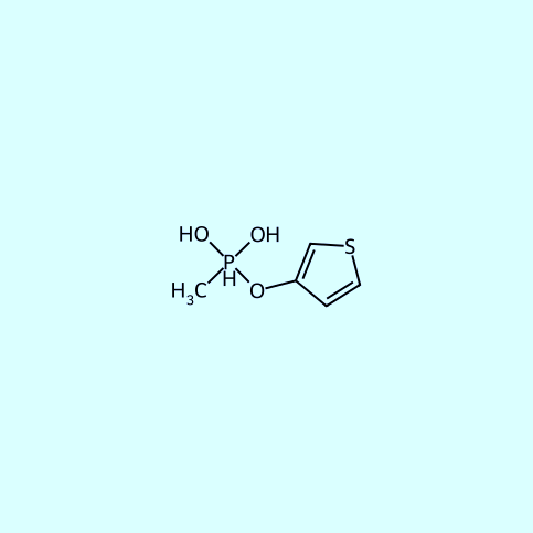 C[PH](O)(O)Oc1ccsc1